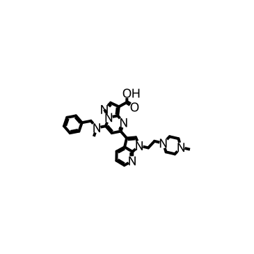 CN1CCN(CCn2cc(-c3cc(N(C)Cc4ccccc4)n4ncc(C(=O)O)c4n3)c3cccnc32)CC1